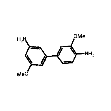 COc1cc(N)cc(-c2ccc(N)c(OC)c2)c1